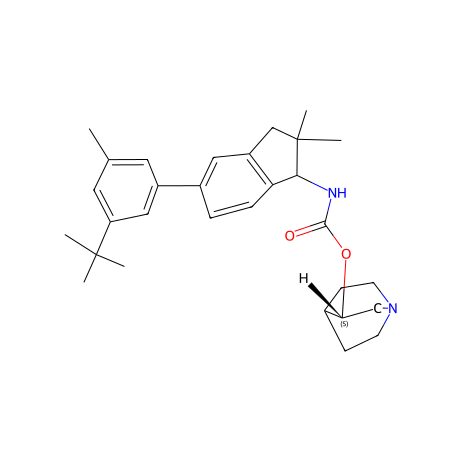 Cc1cc(-c2ccc3c(c2)CC(C)(C)C3NC(=O)O[C@@H]2CN3CCC2CC3)cc(C(C)(C)C)c1